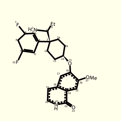 CCC(N)[C@]1(C2=CC(F)CC(F)=C2)CC[C@H](Oc2cc3cc[nH]c(=O)c3cc2OC)CC1